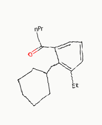 CCCC(=O)c1cccc(CC)c1C1CCCCC1